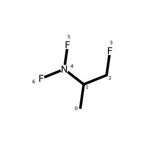 CC(CF)N(F)F